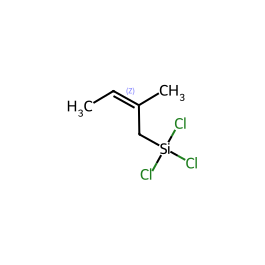 C/C=C(/C)C[Si](Cl)(Cl)Cl